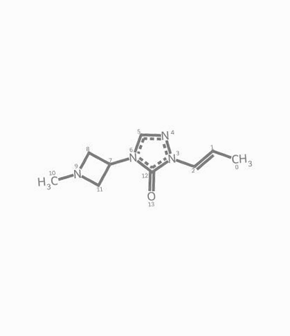 C/C=C/n1ncn(C2CN(C)C2)c1=O